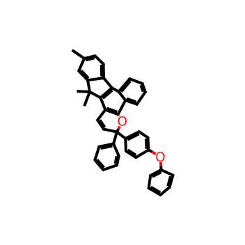 Cc1ccc2c(c1)C(C)(C)c1c3c(c4ccccc4c1-2)OC(c1ccccc1)(c1ccc(Oc2ccccc2)cc1)C=C3